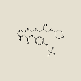 O=c1c2[nH]ccc2nc(SCC(O)COC2CCOCC2)n1-c1ccc(OCC(F)(F)F)cc1